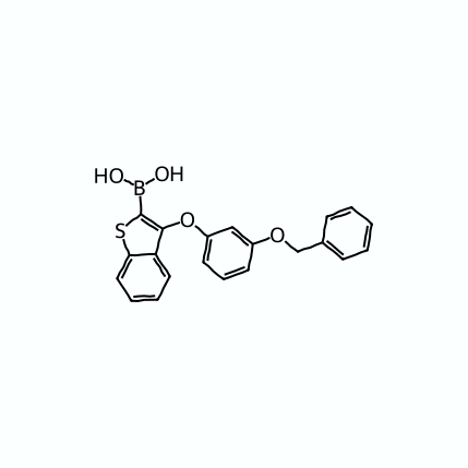 OB(O)c1sc2ccccc2c1Oc1cccc(OCc2ccccc2)c1